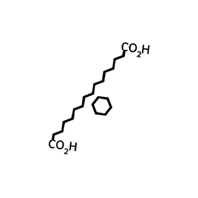 C1CCCCC1.O=C(O)CCCCCCCCCCCCCCC(=O)O